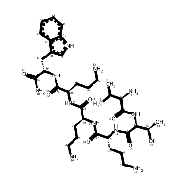 CC(C)[C@@H](N)C(=O)N[C@H](C(=O)N[C@H](CCCN)C(=O)N[C@@H](CCCN)C(=O)N[C@H](CCCN)C(=O)N[C@@H](Cc1c[nH]c2ccccc12)C(N)=O)[C@@H](C)O